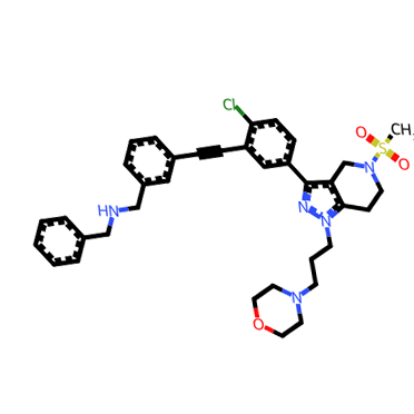 CS(=O)(=O)N1CCc2c(c(-c3ccc(Cl)c(C#Cc4cccc(CNCc5ccccc5)c4)c3)nn2CCCN2CCOCC2)C1